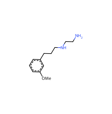 COc1cccc(CCCNCCN)c1